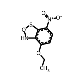 CCOc1ccc([N+](=O)[O-])c2c1NOS2